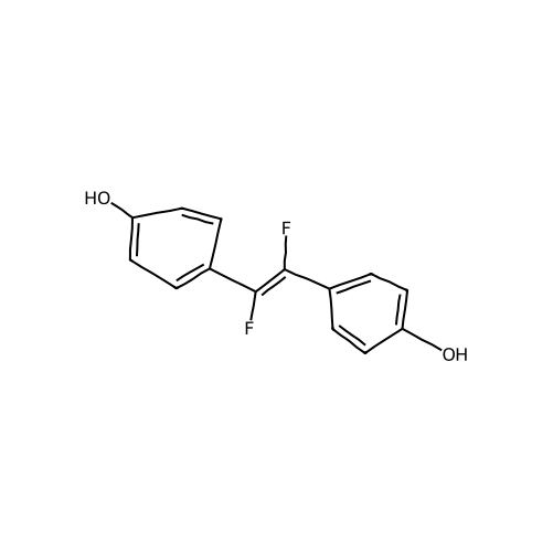 Oc1ccc(/C(F)=C(\F)c2ccc(O)cc2)cc1